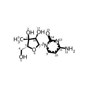 C[C@]1(O)[C@@H](CO)O[C@@H](n2ccc(N)nc2=O)[C@@H]1O